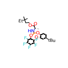 CCC(C)(C)CCOC(=O)[C@H](C)NP(=O)(Oc1ccc(C(C)(C)C)cc1)Oc1c(F)c(F)c(F)c(F)c1F